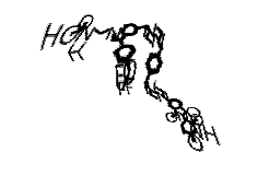 O=C(O)NCCCn1cc(-c2ccc(OC(F)(F)F)cc2)c2cc(CN3CCN(Cc4ccc(CN5CCN(c6ccc7c(c6)C(=O)N(C6CCC(=O)NC6=O)C7=O)CC5)cc4)CC3)ccc21